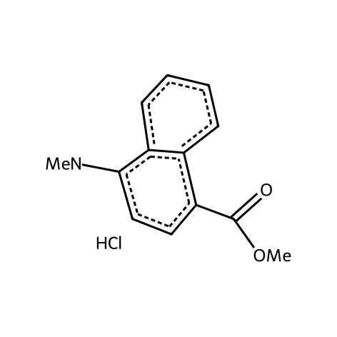 CNc1ccc(C(=O)OC)c2ccccc12.Cl